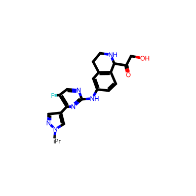 CC(C)n1cc(-c2nc(Nc3ccc4c(c3)CCNC4C(=O)CO)ncc2F)cn1